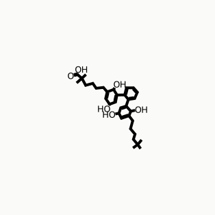 CC(C)(C)CCCCC1=CC(O)C=C(c2ccccc2C2=CC(O)C=C(CCCCC(C)(C)C(=O)O)C2O)C1O